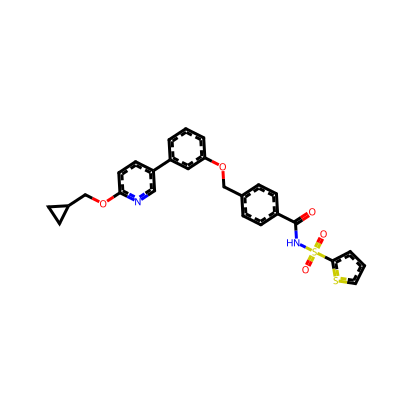 O=C(NS(=O)(=O)c1cccs1)c1ccc(COc2cccc(-c3ccc(OCC4CC4)nc3)c2)cc1